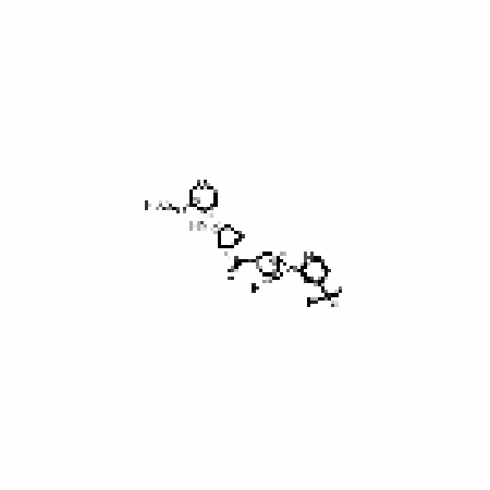 CO[C@@H]1COCC[C@@H]1N[C@@H]1CC[C@H](C(=O)N2C[C@@H]3C[C@H]2CN3c2cc(C(F)(F)F)ccn2)C1